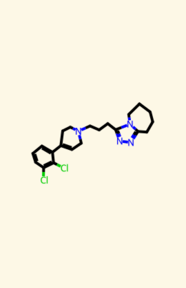 Clc1cccc(C2=CCN(CCCc3nnc4n3CCCCC4)CC2)c1Cl